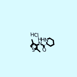 Cc1csc(C)c1NC(=O)[C@H]1CCCCN1.Cl